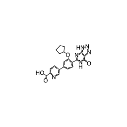 O=C(O)c1ccc(-c2ccc(-c3nc4[nH]nnc4c(=O)[nH]3)c(OC3CCCC3)c2)cn1